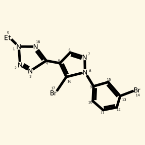 CCn1nnc(-c2cnn(-c3cccc(Br)c3)c2Br)n1